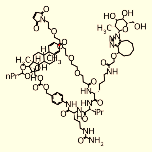 CCCC1O[C@@H]2C[C@H]3[C@@H]4CCC5=CC(=O)C=C[C@]5(C)[C@H]4CC[C@]3(C)[C@]2(C(=O)COC(=O)OCc2ccc(NC(=O)[C@H](CCCNC(N)=O)NC(=O)[C@@H](NC(=O)[C@@H](CCCCNC(=O)COC3CCCCCc4c3nnn4C3O[C@H](CO)[C@H](O)[C@H](O)[C@H]3C)NC(=O)CCOCCOCCOCCOCCN3C(=O)C=CC3=O)C(C)C)cc2)O1